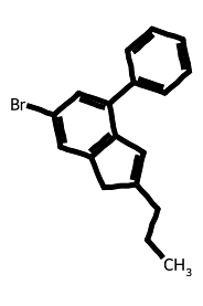 CCCC1=Cc2c(cc(Br)cc2-c2ccccc2)C1